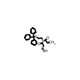 B=NCC(=O)N(CCSC(c1ccccc1)(c1ccccc1)c1ccccc1)C(=O)C=C